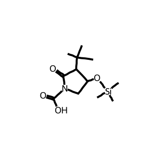 CC(C)(C)C1C(=O)N(C(=O)O)CC1O[Si](C)(C)C